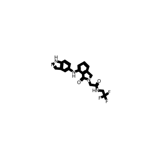 O=C(CN1Cc2cccc(Nc3ccc4[nH]ncc4c3)c2C1=O)NCC(F)(F)F